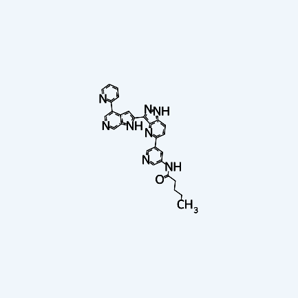 CCCCC(=O)Nc1cncc(-c2ccc3[nH]nc(-c4cc5c(-c6ccccn6)cncc5[nH]4)c3n2)c1